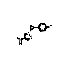 CNc1cnn([C@@H]2C[C@@H]2c2ccc(F)cc2)c1